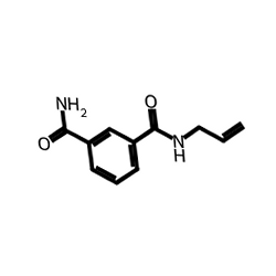 C=CCNC(=O)c1cccc(C(N)=O)c1